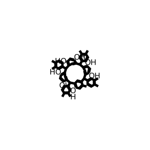 Cc1ccc(C2c3cc(c(O)cc3C)C(c3ccc(C)c(C)c3)c3cc(c(O)cc3O)C(c3ccc(C)c(C)c3)c3cc(c(O)cc3O)C(c3ccc(C)c(C)c3)c3cc2c(O)cc3O)cc1C